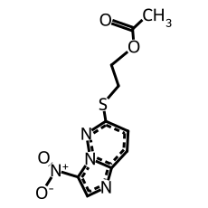 CC(=O)OCCSc1ccc2ncc([N+](=O)[O-])n2n1